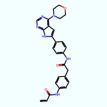 C=CC(=O)Nc1ccc(CC(=O)Nc2ccc(-c3cc4c(N5CCOCC5)ncnc4[nH]3)cc2)cc1